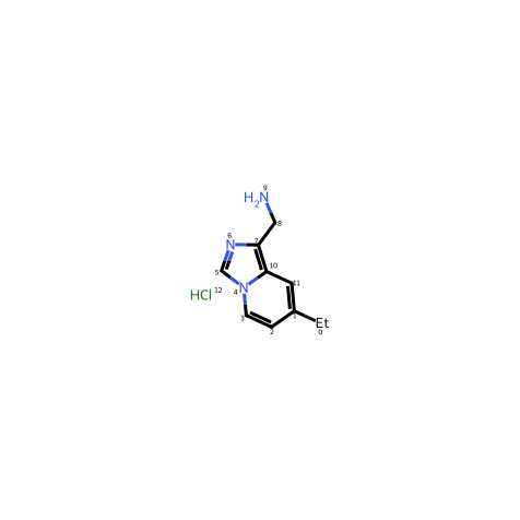 CCc1ccn2cnc(CN)c2c1.Cl